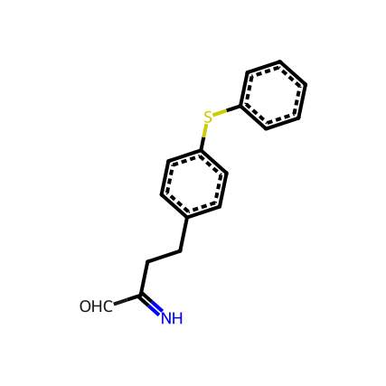 N=C(C=O)CCc1ccc(Sc2ccccc2)cc1